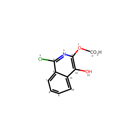 O=C(O)Oc1nc(Cl)c2ccccc2c1O